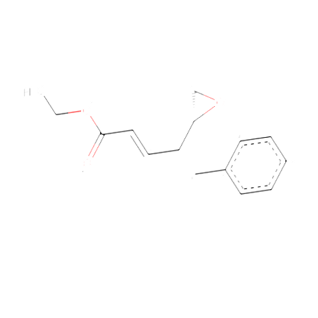 CCOC(=O)/C=C/[C@@H](Cc1ccccc1)[C@@H]1CO1